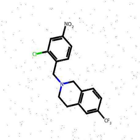 O=[N+]([O-])c1ccc(CN2CCc3cc(C(F)(F)F)ccc3C2)c(Cl)c1